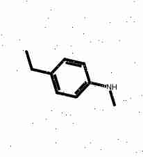 CCc1ccc(NC)cc1